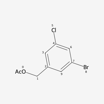 CC(=O)OCc1cc(Cl)cc(Br)c1